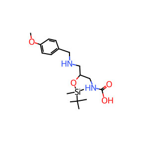 COc1ccc(CNCC(CNC(=O)O)O[Si](C)(C)C(C)(C)C)cc1